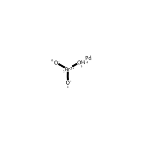 [O-][Br+2]([O-])O.[Pd]